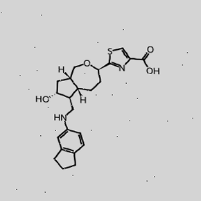 O=C(O)c1csc([C@H]2CC[C@H]3[C@@H](CO2)C[C@@H](O)[C@@H]3CNc2ccc3c(c2)CCC3)n1